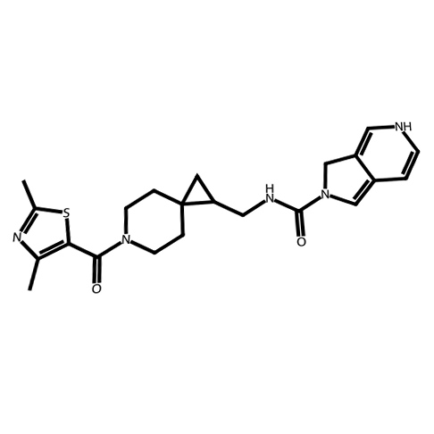 Cc1nc(C)c(C(=O)N2CCC3(CC2)CC3CNC(=O)N2C=C3C=CNC=C3C2)s1